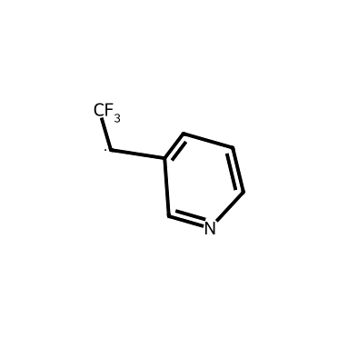 FC(F)(F)[CH]c1cccnc1